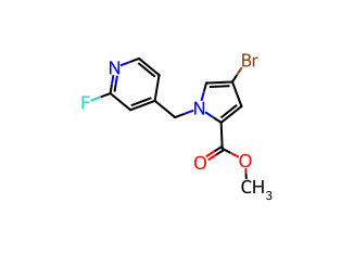 COC(=O)c1cc(Br)cn1Cc1ccnc(F)c1